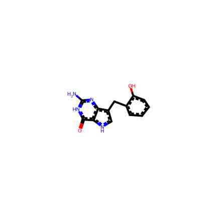 Nc1nc2c(Cc3ccccc3O)c[nH]c2c(=O)[nH]1